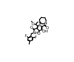 CO[C@H]1C[C@]23CCCCN(C2)C(=O)c2c(O)c(=O)c(C(=O)NCc4c(F)cc(C)cc4F)c1n23